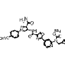 CC(C)(C)OC(=O)N(CC1CC1)c1cc(-c2nc(C(=O)Nc3cn(-c4ccc(C=O)cc4)nc3C(N)=O)co2)ccn1